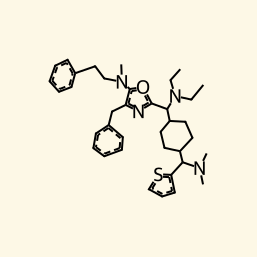 CCN(CC)C(c1nc(Cc2ccccc2)c(N(C)CCc2ccccc2)o1)C1CCC(C(c2cccs2)N(C)C)CC1